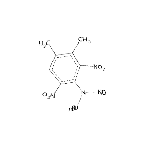 CCCCN(N=O)c1c([N+](=O)[O-])cc(C)c(C)c1[N+](=O)[O-]